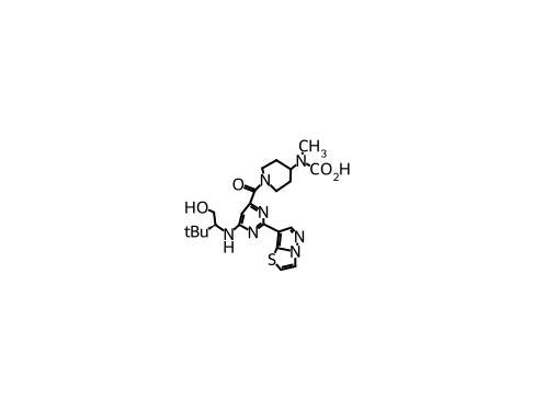 CN(C(=O)O)C1CCN(C(=O)c2cc(N[C@H](CO)C(C)(C)C)nc(-c3cnn4ccsc34)n2)CC1